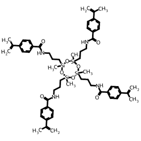 C=C(C)c1ccc(C(=O)NCCC[Si]2(C)O[Si](C)(CCCNC(=O)c3ccc(C(=C)C)cc3)O[Si](C)(CCCNC(=O)c3ccc(C(=C)C)cc3)O[Si](C)(CCCNC(=O)c3ccc(C(=C)C)cc3)O2)cc1